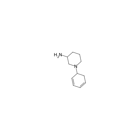 NC1CCCN(C2C=CC=CC2)C1